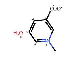 C[n+]1cccc(C(=O)[O-])c1.O